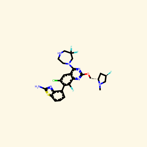 CN1C[C@H](F)C[C@H]1COc1nc(N2CCNCC(F)(F)C2)c2cc(Cl)c(-c3cccc4sc(N)nc34)c(F)c2n1